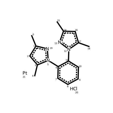 Cc1cc(C)n(-c2ccccc2-n2nc(C)cc2C)n1.Cl.[Pt]